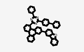 c1ccc(-c2ccc(-c3nc(-c4ccccc4)nc(-c4cccc5c6ccccc6c6cc(-c7ccc8oc9ccccc9c8c7)ccc6c45)n3)cc2)cc1